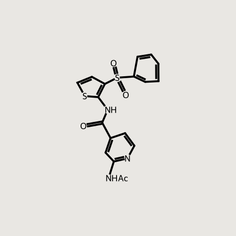 CC(=O)Nc1cc(C(=O)Nc2sccc2S(=O)(=O)c2ccccc2)ccn1